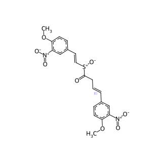 COc1ccc(C=C[S+]([O-])C(=O)C/C=C/c2ccc(OC)c([N+](=O)[O-])c2)cc1[N+](=O)[O-]